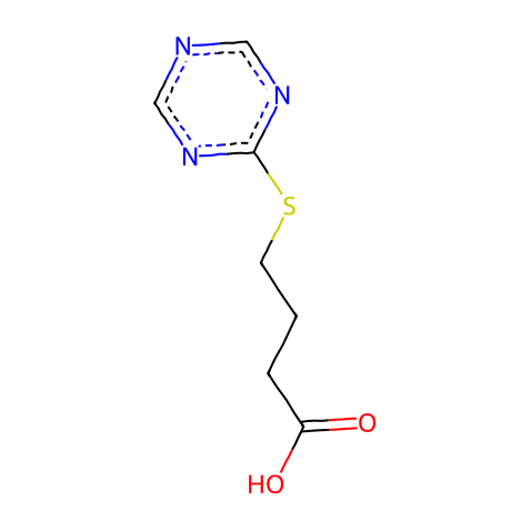 O=C(O)CCCSc1ncncn1